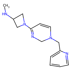 CNC1CN(C2=NCN(Cc3ccccn3)C=C2)C1